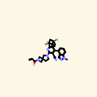 C=CC(=O)N1CC2(CCN(c3nc4c(c(-c5cccc6c5cnn6C)c3C#N)C[C@H]3C[C@@H]4C3(C)C)C2)C1